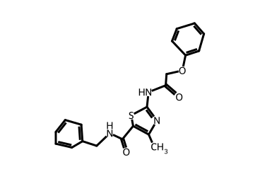 Cc1nc(NC(=O)COc2ccccc2)sc1C(=O)NCc1ccccc1